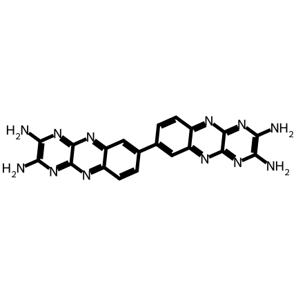 Nc1nc2nc3ccc(-c4ccc5nc6nc(N)c(N)nc6nc5c4)cc3nc2nc1N